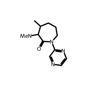 CNC1C(=O)N(c2cnccn2)CCCC1C